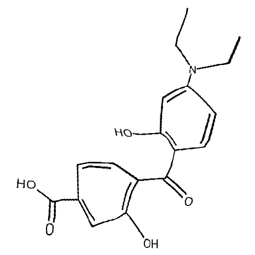 CCN(CC)c1ccc(C(=O)c2ccc(C(=O)O)cc2O)c(O)c1